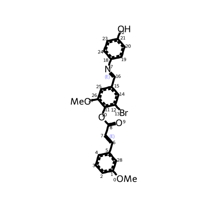 COc1cccc(/C=C/C(=O)Oc2c(Br)cc(/C=N/c3ccc(O)cc3)cc2OC)c1